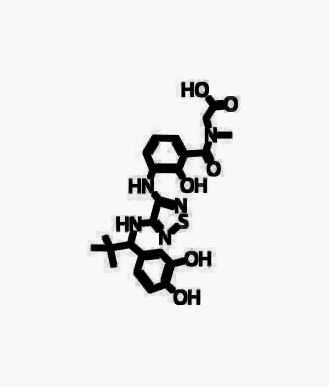 CN(CC(=O)O)C(=O)c1cccc(Nc2nsnc2NC(c2ccc(O)c(O)c2)C(C)(C)C)c1O